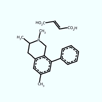 Cc1cc2c(c(-c3ccccc3)c1)CN(C)C(C)C2.O=C(O)C=CC(=O)O